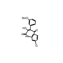 COc1cccc(-c2c(O)c(=O)[nH]c3cc(Cl)ccc3c2=O)c1